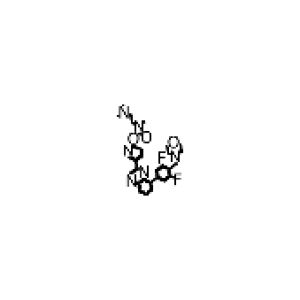 CN(C)CCN(C)C(=O)Oc1ccc(-c2cnc3cccc(-c4cc(F)c(CN5CCOCC5)c(F)c4)c3n2)cn1